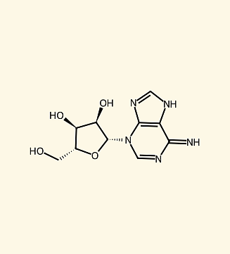 N=c1ncn([C@@H]2O[C@H](CO)[C@@H](O)[C@H]2O)c2nc[nH]c12